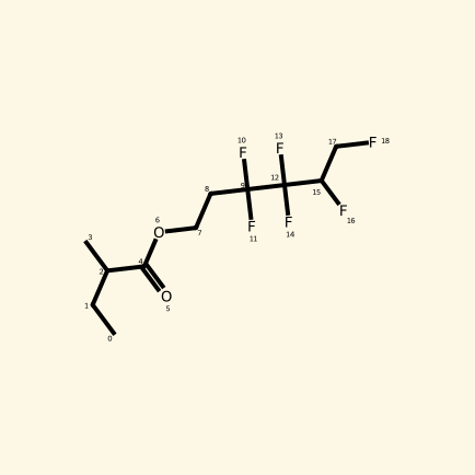 CCC(C)C(=O)OCCC(F)(F)C(F)(F)C(F)CF